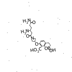 NC(=O)CCC(N)CC(=O)N1CC(Oc2ccc3c(c2C(=O)O)OB(O)CC3)C1